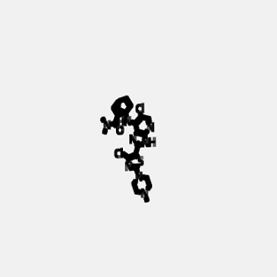 CN1CCN(c2nc(Cl)c(-c3nc4c(NC56C=CC(CC5C(=O)N(C)C)C6)c(Cl)cnc4[nH]3)s2)CC1